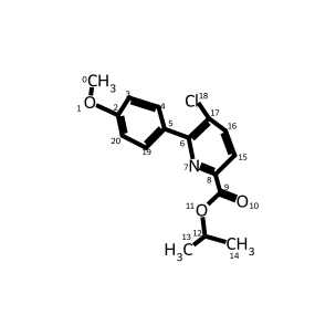 COc1ccc(-c2nc(C(=O)OC(C)C)ccc2Cl)cc1